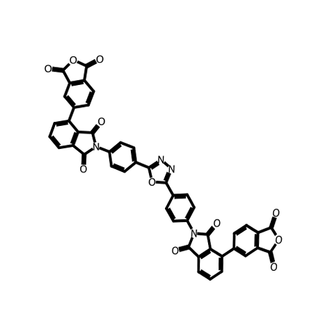 O=C1OC(=O)c2cc(-c3cccc4c3C(=O)N(c3ccc(-c5nnc(-c6ccc(N7C(=O)c8cccc(-c9ccc%10c(c9)C(=O)OC%10=O)c8C7=O)cc6)o5)cc3)C4=O)ccc21